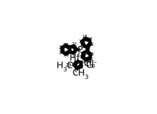 CC1=CC[C]([Hf+2][CH]2C(p3c4ccccc4c4ccccc43)=Cc3ccccc32)=C1C.[Cl-].[Cl-]